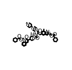 Cc1cc(C[C@@H](NC(=O)N2CCC(c3cc4ccccc4n(COC(=O)C4CCCCC4)c3=O)CC2)C(=O)N2CCN(C3CCN(C)CC3)CC2)cc2cn(COC(=O)C3CCCCC3)nc12